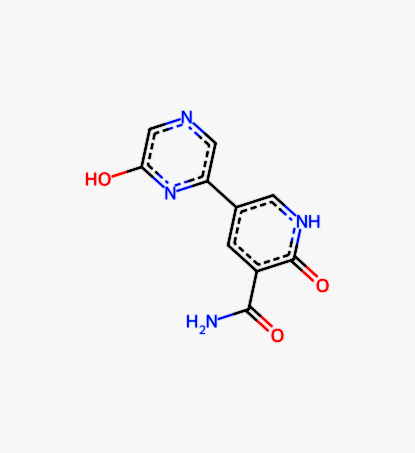 NC(=O)c1cc(-c2cncc(O)n2)c[nH]c1=O